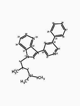 CC(CN(C)C)Cn1cc(-c2cncc(-c3ccccc3)c2)c2ncccc21